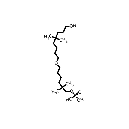 CC(C)(CCCO)CCCCOCCCCC(C)(C)COP(=O)(O)O